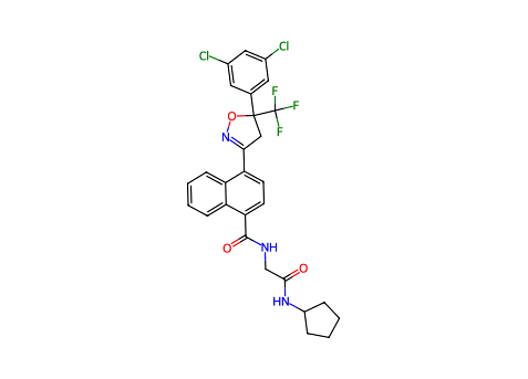 O=C(CNC(=O)c1ccc(C2=NOC(c3cc(Cl)cc(Cl)c3)(C(F)(F)F)C2)c2ccccc12)NC1CCCC1